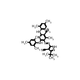 Cc1cc(C)c(Nc2nc(Nc3c(C)cc(C)cc3C)c(N=Nc3[nH]nc(C(C)(C)C)c3C#N)c(C)c2C#N)c(C)c1